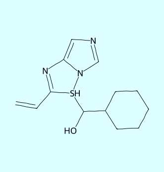 C=CC1=Nc2cncn2[SH]1C(O)C1CCCCC1